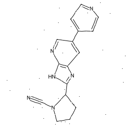 N#CN1CCCC1c1nc2cc(-c3ccncc3)cnc2[nH]1